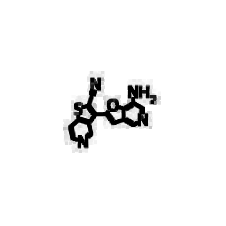 N#Cc1sc2ccncc2c1-c1cc2cncc(N)c2o1